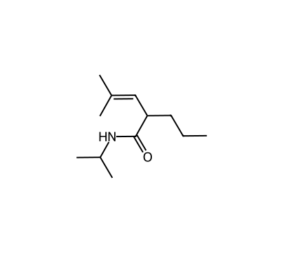 CCCC(C=C(C)C)C(=O)NC(C)C